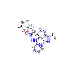 CCn1ncc2c(Nc3cnccn3)c(C3=NOC4(CCCCC4)C3)cnc21